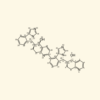 O[C@@H]1c2cccnc2CC[C@H]1[C@@H]1c2cccc(-c3ccc4c(n3)CC[C@@H]([C@@H]3c5ccccc5-c5cncn53)[C@H]4O)c2-c2cncn21